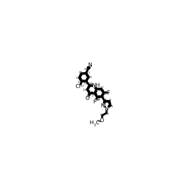 COCCn1ccc(-c2c(F)cc3[nH]c(-c4cc(C#N)ccc4Cl)cc(=O)c3c2F)n1